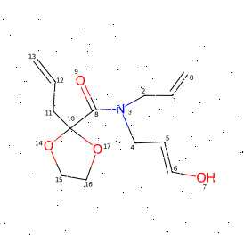 C=CCN(C/C=C/O)C(=O)C1(CC=C)OCCO1